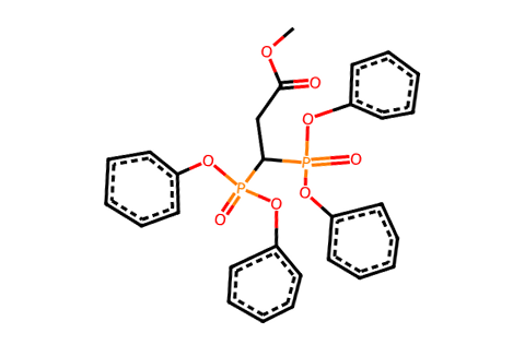 COC(=O)CC(P(=O)(Oc1ccccc1)Oc1ccccc1)P(=O)(Oc1ccccc1)Oc1ccccc1